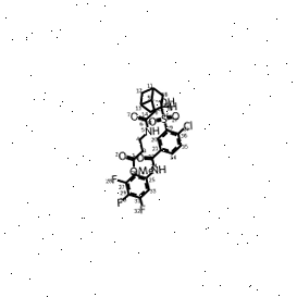 COC(=O)CCNC(=O)C[C@]1(O)C2CC1C[C@@H](S(=O)(=O)c1cc(C(=O)Nc3cc(F)c(F)c(F)c3)ccc1Cl)C2